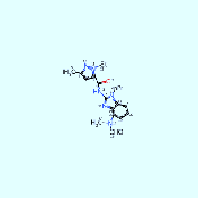 CCCn1c(NC(=O)c2cc(C)nn2CC)nc2c(N(C)C=O)cccc21